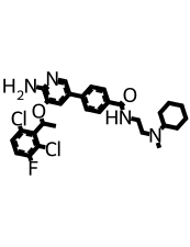 CC(Oc1cc(-c2ccc(C(=O)NCCN(C)C3CCCCC3)cc2)cnc1N)c1c(Cl)ccc(F)c1Cl